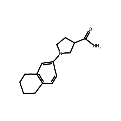 NC(=O)C1CCN(c2ccc3c(c2)CCCC3)C1